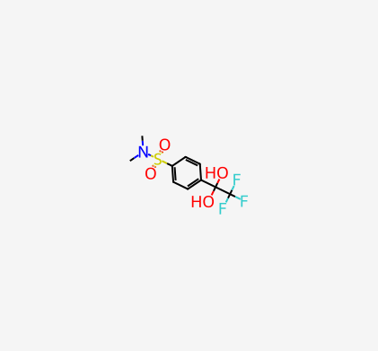 CN(C)S(=O)(=O)c1ccc(C(O)(O)C(F)(F)F)cc1